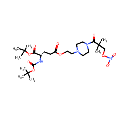 CC(C)(C)OC(=O)N[C@@H](CCC(=O)OCCN1CCN(C(=O)C(C)(C)CO[N+](=O)[O-])CC1)C(=O)OC(C)(C)C